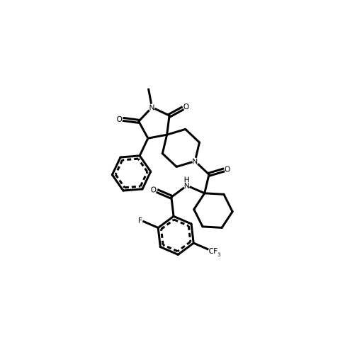 CN1C(=O)C(c2ccccc2)C2(CCN(C(=O)C3(NC(=O)c4cc(C(F)(F)F)ccc4F)CCCCC3)CC2)C1=O